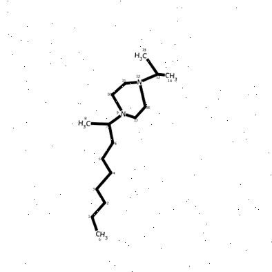 CCCCCCCC(C)N1CCN(C(C)C)CC1